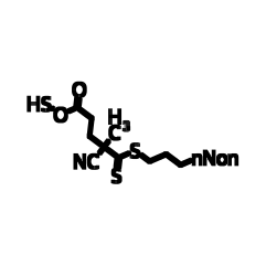 CCCCCCCCCCCCSC(=S)C(C)(C#N)CCC(=O)OS